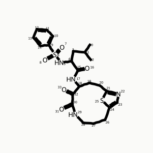 CC(C)CC(NS(=O)(=O)c1ccccc1)C(=O)NC1CCc2ncc(s2)CCCNC(=O)C1=O